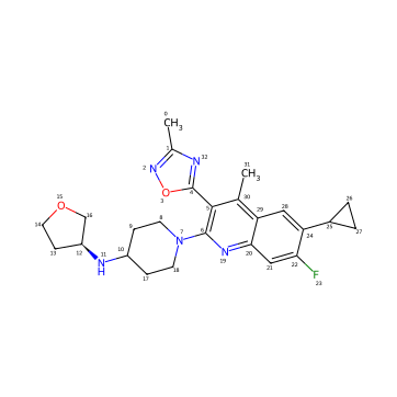 Cc1noc(-c2c(N3CCC(N[C@H]4CCOC4)CC3)nc3cc(F)c(C4CC4)cc3c2C)n1